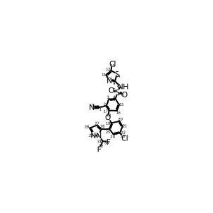 N#Cc1cc(S(=O)(=O)Nc2ncc(Cl)s2)ccc1Oc1ccc(Cl)cc1-c1ccnn1C(F)F